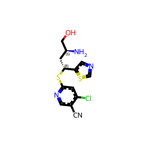 N#Cc1cnc(S[C@H](C[C@H](N)CO)c2cncs2)cc1Cl